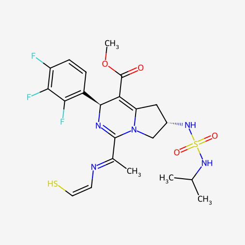 COC(=O)C1=C2C[C@H](NS(=O)(=O)NC(C)C)CN2C(/C(C)=N/C=C\S)=N[C@H]1c1ccc(F)c(F)c1F